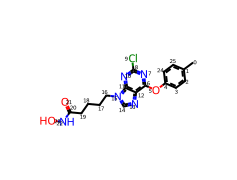 Cc1ccc(Oc2nc(Cl)nc3c2ncn3CCCCC(=O)NO)cc1